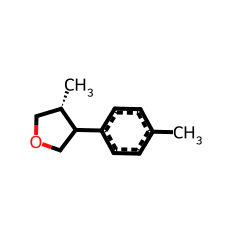 Cc1ccc(C2COC[C@@H]2C)cc1